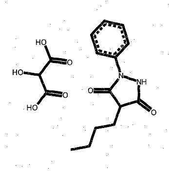 CCCCC1C(=O)NN(c2ccccc2)C1=O.O=C(O)C(O)C(=O)O